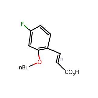 CCCCOc1cc(F)ccc1/C=C/C(=O)O